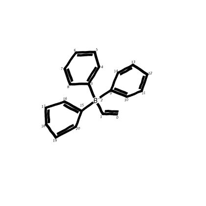 C=C[B-](c1ccccc1)(c1ccccc1)c1ccccc1